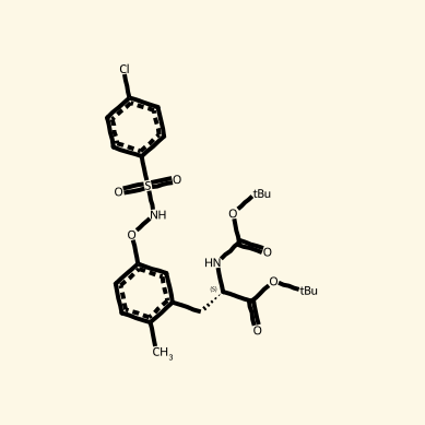 Cc1ccc(ONS(=O)(=O)c2ccc(Cl)cc2)cc1C[C@H](NC(=O)OC(C)(C)C)C(=O)OC(C)(C)C